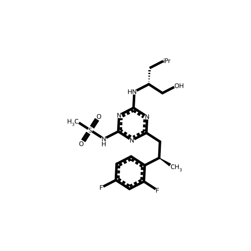 CC(C)C[C@H](CO)Nc1nc(C[C@@H](C)c2ccc(F)cc2F)nc(NS(C)(=O)=O)n1